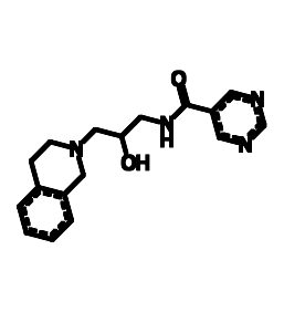 O=C(NCC(O)CN1CCc2ccccc2C1)c1cncnc1